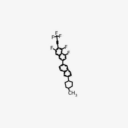 CC1CCC(c2ccc3cc(-c4cc(F)c5c(F)c(C#CC(F)(F)F)c(F)cc5c4)ccc3c2)CC1